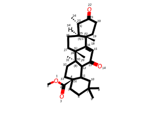 COC(=O)[C@]12CCC(C)(C)CC1C1C(=O)C=C3[C@@]4(C)CCC(=O)[C@@H](C)[C@@H]4CC[C@@]3(C)[C@]1(C)CC2